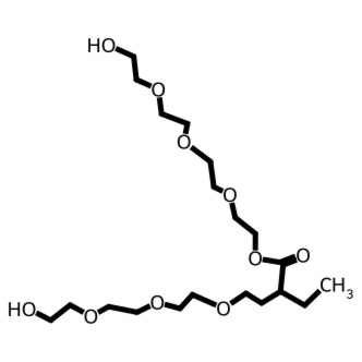 CCC(CCOCCOCCOCCO)C(=O)OCCOCCOCCOCCO